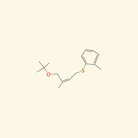 CC(=CCSc1ccccc1C)COC(C)(C)C